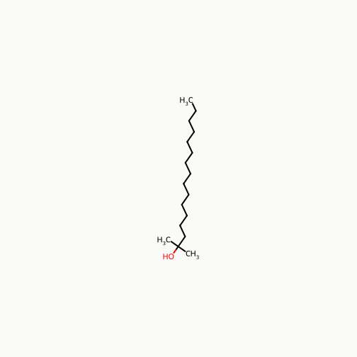 CCCCCCCCCCCCCCC(C)(C)O